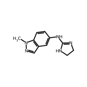 Cn1ncc2cc(NC3=NCCN3)ccc21